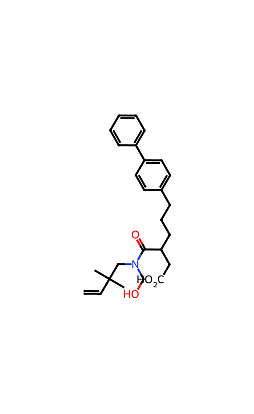 C=CC(C)(C)CN(CO)C(=O)C(CCCc1ccc(-c2ccccc2)cc1)CC(=O)O